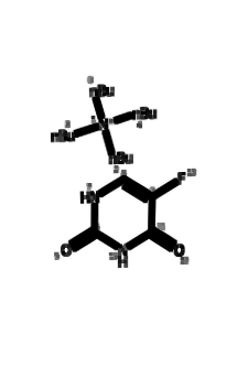 CCCC[N+](CCCC)(CCCC)CCCC.O=c1[nH]cc(F)c(=O)[nH]1